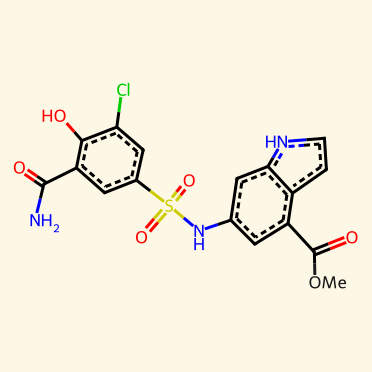 COC(=O)c1cc(NS(=O)(=O)c2cc(Cl)c(O)c(C(N)=O)c2)cc2[nH]ccc12